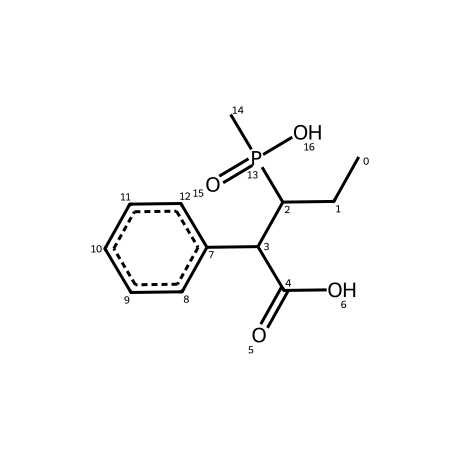 CCC(C(C(=O)O)c1ccccc1)P(C)(=O)O